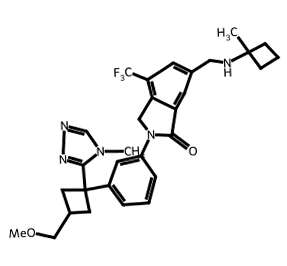 COCC1CC(c2cccc(N3Cc4c(cc(CNC5(C)CCC5)cc4C(F)(F)F)C3=O)c2)(c2nncn2C)C1